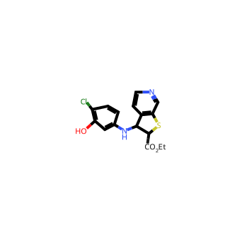 CCOC(=O)C1Sc2cnccc2C1Nc1ccc(Cl)c(O)c1